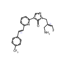 NC/C(=C\F)Cn1ncn(-c2cccc(/C=C/c3ccc(C(F)(F)F)cc3)n2)c1=O